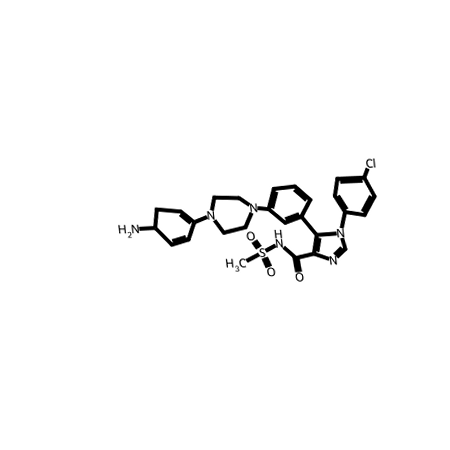 CS(=O)(=O)NC(=O)c1ncn(-c2ccc(Cl)cc2)c1-c1cccc(N2CCN(C3=CCC(N)C=C3)CC2)c1